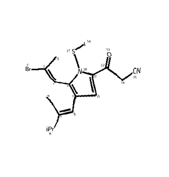 C/C(Br)=C\c1c(/C=C(\C)C(C)C)cc(C(=O)CC#N)n1SI